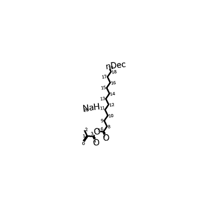 C=C(C)C(=O)OC(=O)CCCCCCCCCCCCCCCCCCCCC.[NaH]